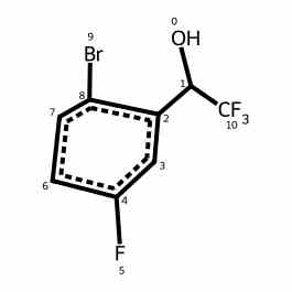 OC(c1cc(F)ccc1Br)C(F)(F)F